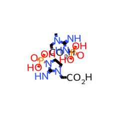 CN(CC(=O)O)C(=N)NP(=O)(O)O.N=C1N(CC(=O)O)CCN1P(=O)(O)O